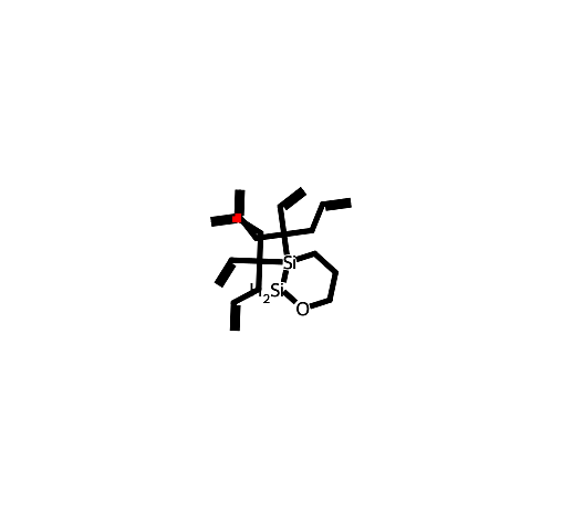 C=CCC(C=C)(CC=C)[Si]1(C(C=C)(CC=C)CC=C)CCCO[SiH2]1